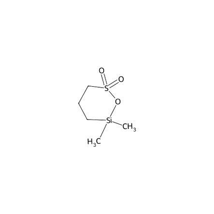 C[Si]1(C)CCCS(=O)(=O)O1